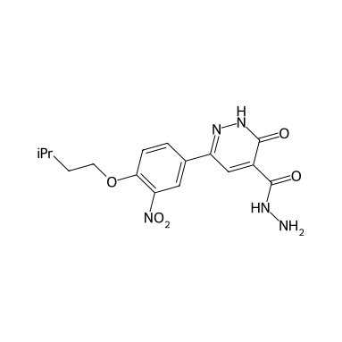 CC(C)CCOc1ccc(-c2cc(C(=O)NN)c(=O)[nH]n2)cc1[N+](=O)[O-]